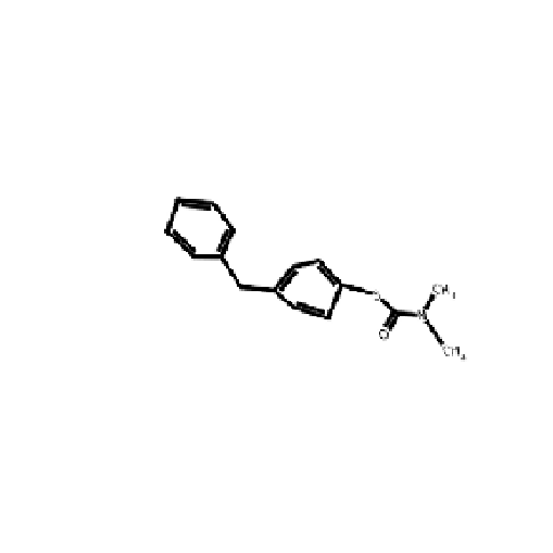 CN(C)C(=O)Sc1ccc(Cc2ccccc2)cc1